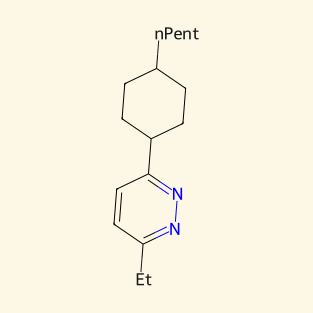 CCCCCC1CCC(c2ccc(CC)nn2)CC1